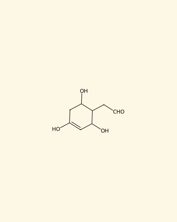 O=CCC1C(O)C=C(O)CC1O